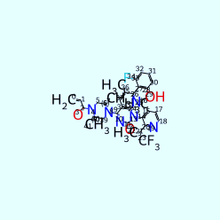 C=CC(=O)N1C[C@H](C)N(c2nc(=O)n(-c3c(C)ccnc3C(C)C(F)(F)F)c3nc(-c4c(O)cccc4F)c(C)cc23)C[C@H]1C